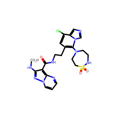 O=C(O)Nc1nn2cccnc2c1C(=O)NCCc1cc(Cl)c2cncn2c1N1CCNS(=O)(=O)CC1